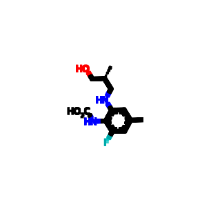 Cc1cc(F)c(NC(=O)O)c(NC[C@@H](C)CO)c1